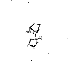 OC1(C2NC3CCC2C3)CCCC1